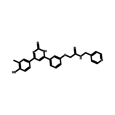 Cc1cc(-c2cc(-c3cccc(OCC(=O)NCc4ccncc4)c3)[nH]c(=O)n2)ccc1O